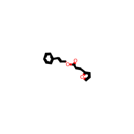 O=C(C=Cc1ccco1)OCC=Cc1ccccc1